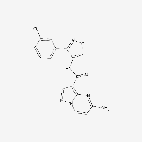 Nc1ccn2ncc(C(=O)Nc3conc3-c3cccc(Cl)c3)c2n1